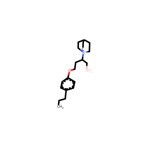 BCC(CCOc1ccc(CCC)cc1)[N+]12CCC(CC1)CC2